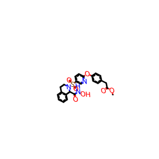 COC(=O)Cc1ccc(Oc2ccc(S(=O)(=O)N3CCc4ccccc4C3C(=O)NO)cn2)cc1